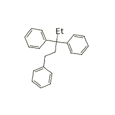 CCC(CCc1ccccc1)(c1ccccc1)c1ccccc1